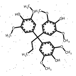 CCCC(c1cc(OC)c(O)c(OC)c1)(c1cc(OC)c(O)c(OC)c1)c1cc(OC)c(O)c(OC)c1